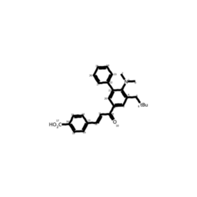 CN(C)c1c(CC(C)(C)C)cc(C(=O)/C=C/c2ccc(C(=O)O)cc2)cc1-c1ccccc1